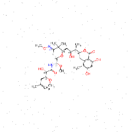 C=C(C)C[C@H](OC)[C@H](O)C(=O)N[C@@H](OC)[C@@H]1C/C(=N\OC)C(C)(C)[C@@H](C[C@H](O)[C@@H](C)[C@H]2Cc3c(C)c(O)cc(O)c3C(=O)O2)O1